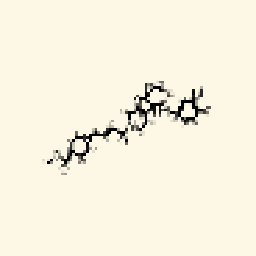 COC(=O)C1CCN(C/C=C/C(=O)N2CCc3c(sc4ncnc(Nc5ccc(F)c(Cl)c5)c34)C2)CC1